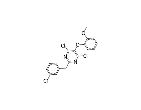 COc1ccccc1Oc1c(Cl)nc(Cc2cccc(Cl)c2)nc1Cl